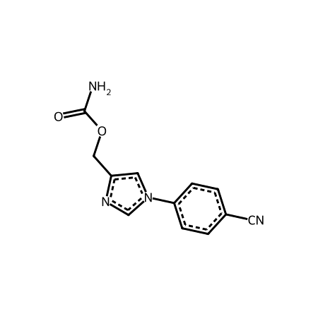 N#Cc1ccc(-n2cnc(COC(N)=O)c2)cc1